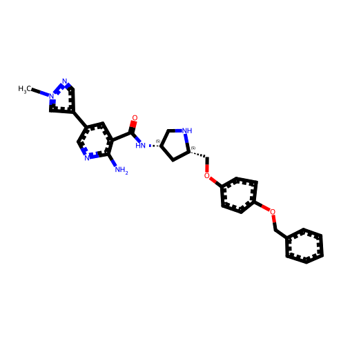 Cn1cc(-c2cnc(N)c(C(=O)N[C@@H]3CN[C@H](COc4ccc(OCc5ccccc5)cc4)C3)c2)cn1